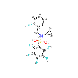 O=S(=O)(c1c(F)c(F)c(F)c(F)c1F)N(Cc1ccccc1F)C1CC1